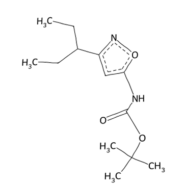 CCC(CC)c1cc(NC(=O)OC(C)(C)C)on1